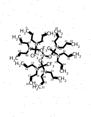 C=CCN(CC=C)C(OP(OC(N(CC=C)CC=C)(N(CC=C)CC=C)C(F)(F)F)OC(N(CC=C)CC=C)(N(CC=C)CC=C)C(F)(F)F)(N(CC=C)CC=C)C(F)(F)F